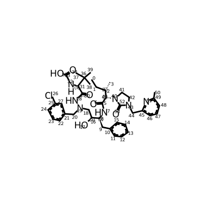 CC[C@H](C)[C@@H](C(=O)N[C@@H](Cc1ccccc1)[C@@H](O)CN(Cc1cccc(Cl)c1)NC(=O)[C@@H](NC(=O)O)C(C)(C)C)N1CCN(Cc2cccc(C)n2)C1=O